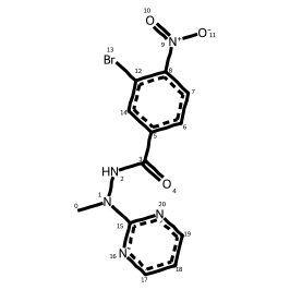 CN(NC(=O)c1ccc([N+](=O)[O-])c(Br)c1)c1ncccn1